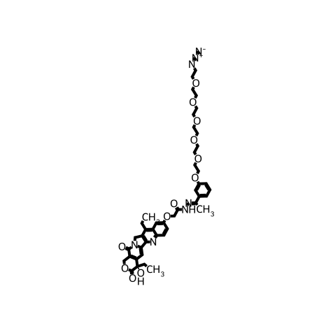 CCc1c2c(nc3ccc(OCC(=O)N/N=C(\C)c4cccc(OCCOCCOCCOCCOCCOCCN=[N+]=[N-])c4)cc13)-c1cc3c(c(=O)n1C2)COC(=O)[C@]3(O)CC